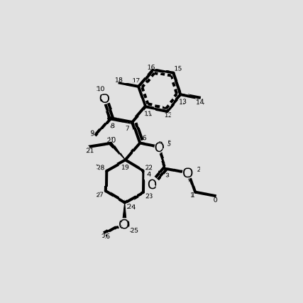 CCOC(=O)O/C(=C(/C(C)=O)c1cc(C)ccc1C)[C@]1(CC)CC[C@@H](OC)CC1